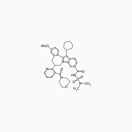 COc1ccc2c(c1)CC(c1ncccc1C(=O)N1CCOCC1)Cn1c-2c(C2CCCCC2)c2ccc(C(=O)NS(=O)(=O)N(C)C)cc21